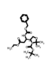 CCOC(=O)CC(NC(=O)OCc1ccccc1)[C@H]1COC(C)(C)N1C(=O)OC(C)(C)C